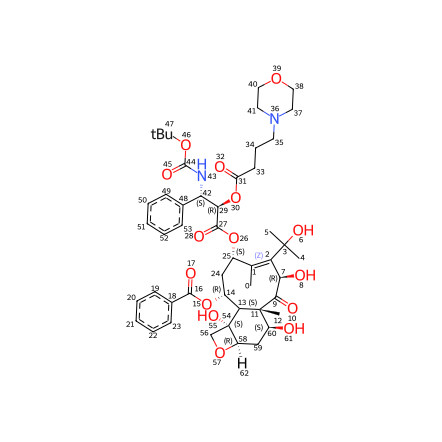 C/C1=C(/C(C)(C)O)[C@@H](O)C(=O)[C@@]2(C)C([C@H](OC(=O)c3ccccc3)C[C@@H]1OC(=O)[C@H](OC(=O)CCCN1CCOCC1)[C@@H](NC(=O)OC(C)(C)C)c1ccccc1)[C@]1(O)CO[C@@H]1C[C@@H]2O